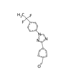 CC(F)(F)c1ccc(-n2cnc(-c3ccc(C=O)cc3)n2)cc1